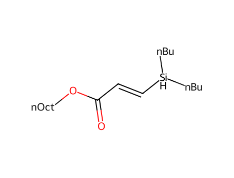 CCCCCCCCOC(=O)C=C[SiH](CCCC)CCCC